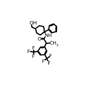 CC(C(=O)NC1(c2ccccc2)CCC(CO)CC1)c1cc(C(F)(F)F)cc(C(F)(F)F)c1